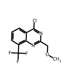 COCc1nc(Cl)c2cccc(C(F)(F)F)c2n1